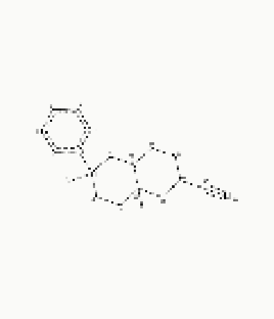 CC1(c2ccccc2)CCC2(C)CC(C#N)CCN2C1